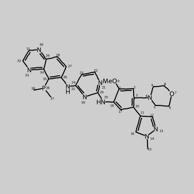 COc1cc(N2CCOCC2)c(-c2cnn(C)c2)cc1Nc1nccc(Nc2ccc3nccnc3c2P(C)C)n1